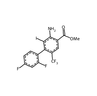 COC(=O)c1cc(C(F)(F)F)c(-c2ccc(F)cc2F)c(I)c1N